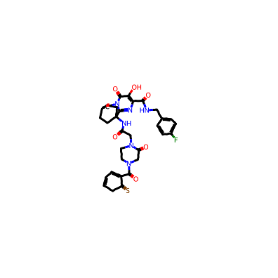 O=C(CN1CCN(C(=O)C2=CC=CCC2=S)CC1=O)NC12CCC(CC1)Cn1c2nc(C(=O)NCc2ccc(F)cc2)c(O)c1=O